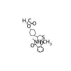 COc1ccccc1C(=O)NC[C@]1(C2CCSC2)CC[C@H](OC(C)=O)CC1